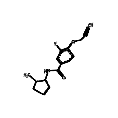 C#CCOc1ccc(C(=O)NC2CCCC2C)cc1F